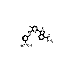 Cc1cnc(-c2c3cccc(C(N)=O)c3cn2C)nc1NCc1cccc(B(O)O)c1